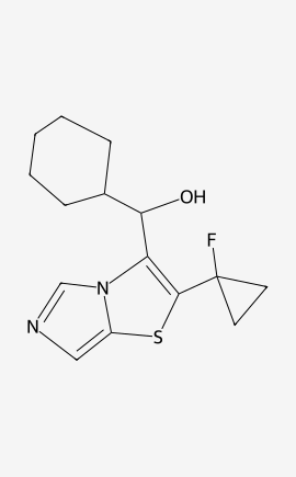 OC(c1c(C2(F)CC2)sc2cncn12)C1CCCCC1